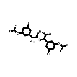 O=C(O[C@@H](C(=O)O)c1cc(Cl)cc(OC(F)F)c1)[C@H](O)c1cc(Cl)cc(OC(F)F)c1